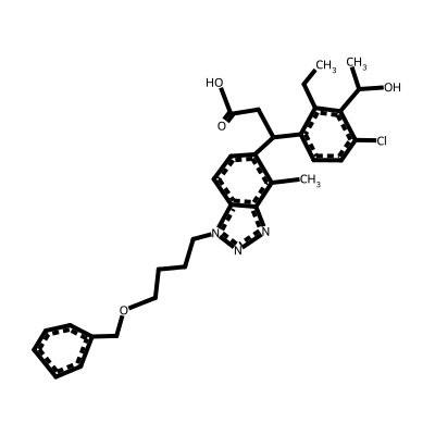 CCc1c(C(CC(=O)O)c2ccc3c(nnn3CCCCOCc3ccccc3)c2C)ccc(Cl)c1C(C)O